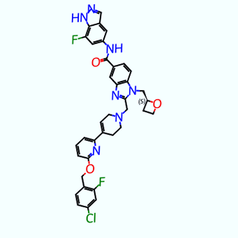 O=C(Nc1cc(F)c2[nH]ncc2c1)c1ccc2c(c1)nc(CN1CC=C(c3cccc(OCc4ccc(Cl)cc4F)n3)CC1)n2C[C@@H]1CCO1